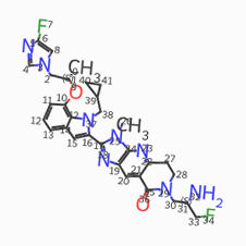 C[C@@H](Cn1cnc(F)c1)Oc1cccc2cc(-c3nc4cc5c(nc4n3C)CCN(C[C@H](N)CF)C5=O)n(CC3CC3)c12